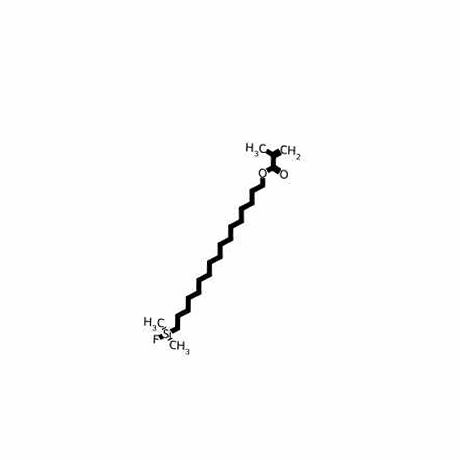 C=C(C)C(=O)OCCCCCCCCCCCCCCCCC[Si](C)(C)F